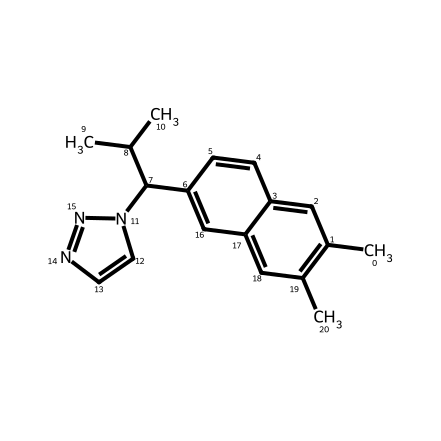 Cc1cc2ccc(C(C(C)C)n3ccnn3)cc2cc1C